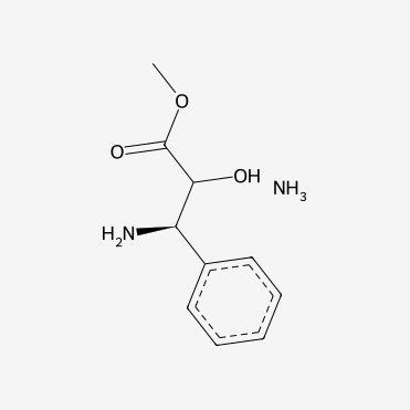 COC(=O)C(O)[C@H](N)c1ccccc1.N